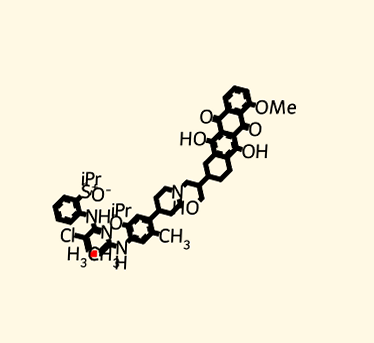 C\C=C(/N=C(Nc1ccccc1[S+]([O-])C(C)C)\C(Cl)=C/C)Nc1cc(C)c(C2CCN(CC(CO)C3CCc4c(O)c5c(c(O)c4C3)C(=O)c3cccc(OC)c3C5=O)CC2)cc1OC(C)C